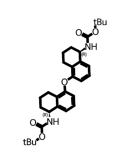 CC(C)(C)OC(=O)N[C@@H]1CCCc2c(Oc3cccc4c3CCC[C@H]4NC(=O)OC(C)(C)C)cccc21